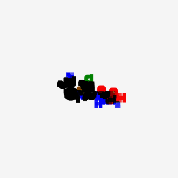 CCc1cnccc1-c1cccc([C@H](C)N(CCCCNC(=O)[C@@H](N)CS(=O)(=O)O)Sc2cccc(Cl)c2C)c1